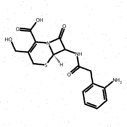 Nc1ccccc1CC(=O)NC1C(=O)N2C(C(=O)O)=C(CO)CS[C@H]12